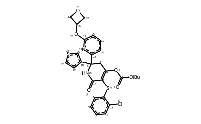 CC(C)COC(=O)OC1=C(Sc2ccccc2Cl)C(=O)NC(c2ccsc2)(c2cccc(OC3COC3)n2)C1